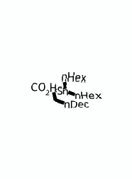 CCCCCCCCCCCC(=O)O.CCCCC[CH2][Sn][CH2]CCCCC